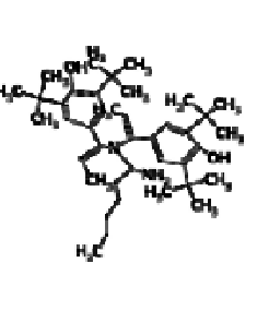 C/C=C(/c1cc(C(C)(C)C)c(O)c(C(C)(C)C)c1)N(/C(=C\C)c1cc(C(C)(C)C)c(O)c(C(C)(C)C)c1)C(N)CCCCC